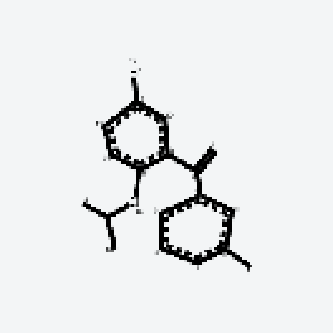 C=C(c1cccc(C)c1)c1cc(Br)ccc1OC(C)C